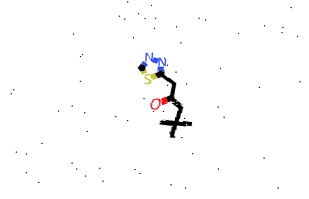 CC(C)(C)CC(=O)Cc1nncs1